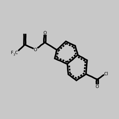 C=C(OC(=O)c1ccc2cc(C(=O)Cl)ccc2c1)C(F)(F)F